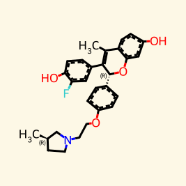 CC1=C(c2ccc(O)c(F)c2)[C@@H](c2ccc(OCCN3CC[C@@H](C)C3)cc2)Oc2cc(O)ccc21